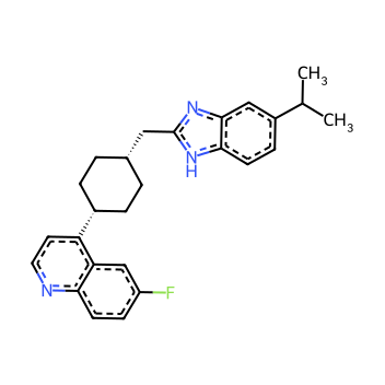 CC(C)c1ccc2[nH]c(C[C@H]3CC[C@@H](c4ccnc5ccc(F)cc54)CC3)nc2c1